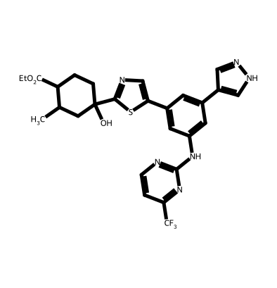 CCOC(=O)C1CCC(O)(c2ncc(-c3cc(Nc4nccc(C(F)(F)F)n4)cc(-c4cn[nH]c4)c3)s2)CC1C